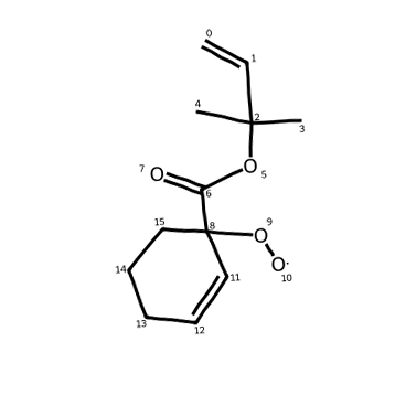 C=CC(C)(C)OC(=O)C1(O[O])C=CCCC1